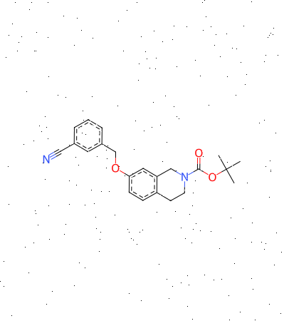 CC(C)(C)OC(=O)N1CCc2ccc(OCc3cccc(C#N)c3)cc2C1